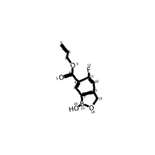 C=CCOC(=O)c1cc2c(cc1F)COB2O